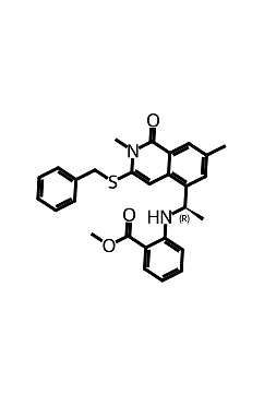 COC(=O)c1ccccc1N[C@H](C)c1cc(C)cc2c(=O)n(C)c(SCc3ccccc3)cc12